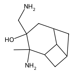 CC1(N)C2CC3CC(CC1(O)CN)C32